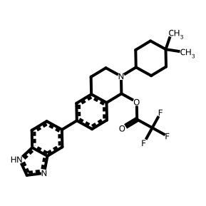 CC1(C)CCC(N2CCc3cc(-c4ccc5[nH]cnc5c4)ccc3C2OC(=O)C(F)(F)F)CC1